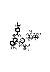 Cc1ccc2nc(NC(=O)c3ccc(C(F)(F)F)cc3)nc(NC3CCCCC3NC(=N)N)c2c1.O=C(O)C(F)(F)F.O=C(O)C(F)(F)F